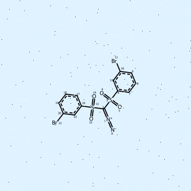 [N-]=[N+]=C(S(=O)(=O)c1cccc(Br)c1)S(=O)(=O)c1cccc(Br)c1